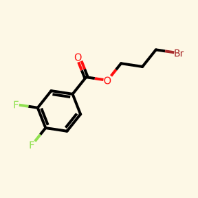 O=C(OCCCBr)c1ccc(F)c(F)c1